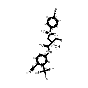 CC[C@](O)(CS(=O)(=O)c1ccc(F)cc1)C(=O)Nc1ccc(C#N)c(C(F)(F)F)c1